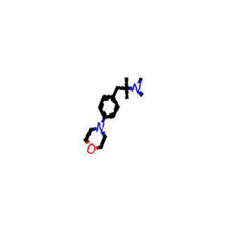 CN(C)C(C)(C)Cc1ccc(N2CCOCC2)cc1